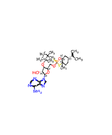 C=C(C)[C@@H]1CC[C@]2(C)S[P@@](=S)(OC[C@H]3O[C@@H](n4cnc5c(N)ncnc54)[C@H](O)C3O[Si](C)(C)C(C)(C)C)O[C@H]2C1